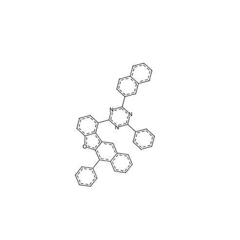 c1ccc(-c2nc(-c3ccc4ccccc4c3)nc(-c3cccc4oc5c(-c6ccccc6)c6ccccc6cc5c34)n2)cc1